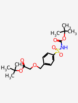 CC(C)(C)OC(=O)COCc1ccc(S(=O)(=O)NC(=O)OC(C)(C)C)cc1